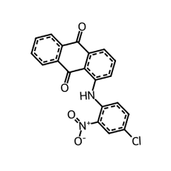 O=C1c2ccccc2C(=O)c2c(Nc3ccc(Cl)cc3[N+](=O)[O-])cccc21